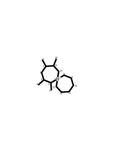 CC1CC(C)C(C)[N+]2(CCCCCC2)CC1C